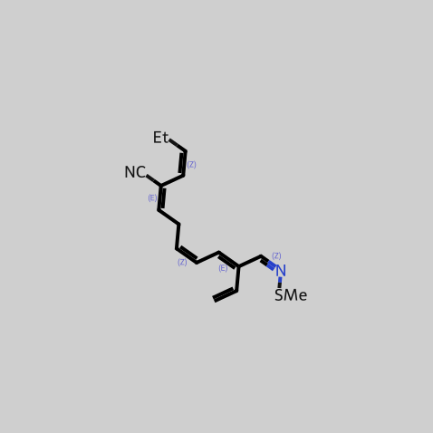 C=CC(/C=N\SC)=C\C=C/C/C=C(C#N)\C=C/CC